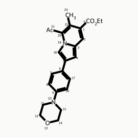 CCOC(=O)c1cc2cc(-c3ccc(N4CCOCC4)cc3)cn2c(C(C)=O)c1C